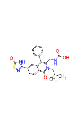 CC(C)Cn1c(CNC(=O)O)c(-c2ccccc2)c2cc(-c3nsc(=O)[nH]3)ccc2c1=O